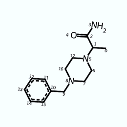 CC(C(N)=O)N1CCN(Cc2c[c]ccc2)CC1